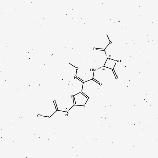 CON=C(C(=O)N[C@H]1C(=O)N[C@H]1C(=O)OC)c1csc(NC(=O)CCl)n1